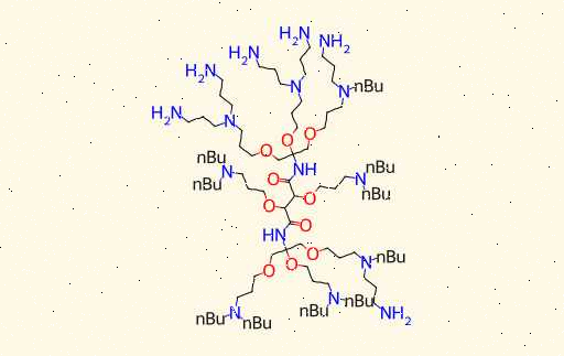 CCCCN(CCCC)CCCOCC(COCCCN(CCCC)CCCN)(NC(=O)C(OCCCN(CCCC)CCCC)C(OCCCN(CCCC)CCCC)C(=O)NC(COCCCN(CCCC)CCCN)(COCCCN(CCCN)CCCN)OCCCN(CCCN)CCCN)OCCCN(CCCC)CCCC